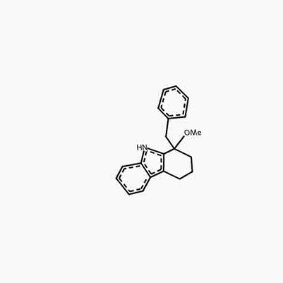 COC1(Cc2ccccc2)CCCc2c1[nH]c1ccccc21